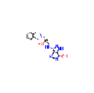 Oc1ncnc2c(NC[C@@H](O)CN3CCc4ccccc4C3)n[nH]c12